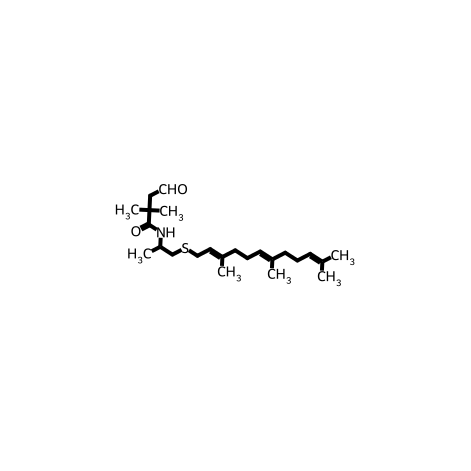 CC(C)=CCC/C(C)=C/CC/C(C)=C/CSCC(C)NC(=O)C(C)(C)CC=O